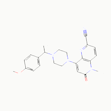 COc1ccc(C(C)N2CCN(c3cc(=O)n(C)c4ccc(C#N)nc34)[C@@H](C)C2)cc1